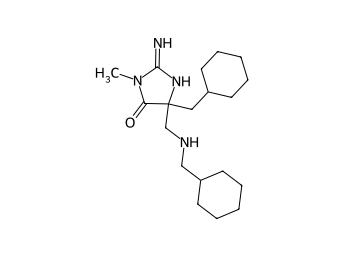 CN1C(=N)NC(CNCC2CCCCC2)(CC2CCCCC2)C1=O